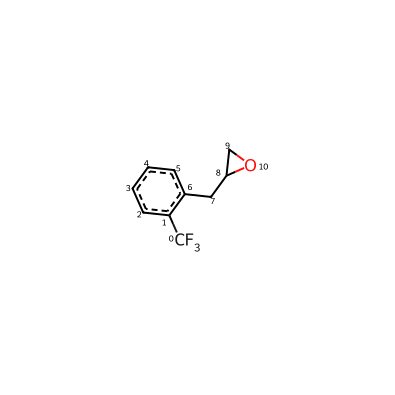 FC(F)(F)c1ccccc1CC1CO1